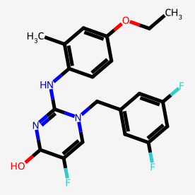 CCOc1ccc(NC2=NC(O)C(F)=CN2Cc2cc(F)cc(F)c2)c(C)c1